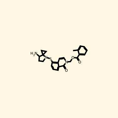 Cc1ccccc1C(=O)OCn1ccc2c(SN3CCC(N)C34CC4)cccc2c1=O